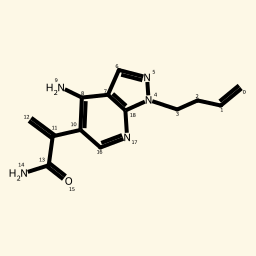 C=CCCn1ncc2c(N)c(C(=C)C(N)=O)cnc21